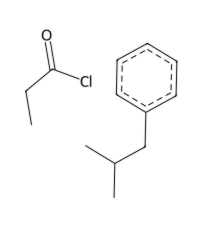 CC(C)Cc1ccccc1.CCC(=O)Cl